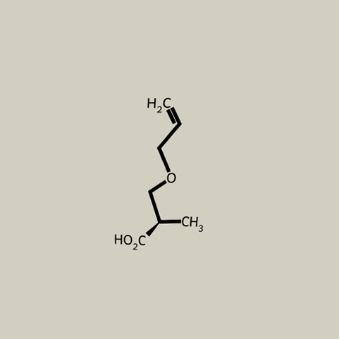 C=CCOC[C@@H](C)C(=O)O